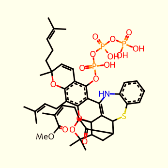 COC(=O)/C(C)=C\CC12OC(C)(C)C3CC(C1=O)C1Sc4ccccc4NC4=C1C32Oc1c(CC=C(C)C)c2c(c(OP(=O)(O)OP(=O)(O)OP(=O)(O)O)c14)C=CC(C)(CCC=C(C)C)O2